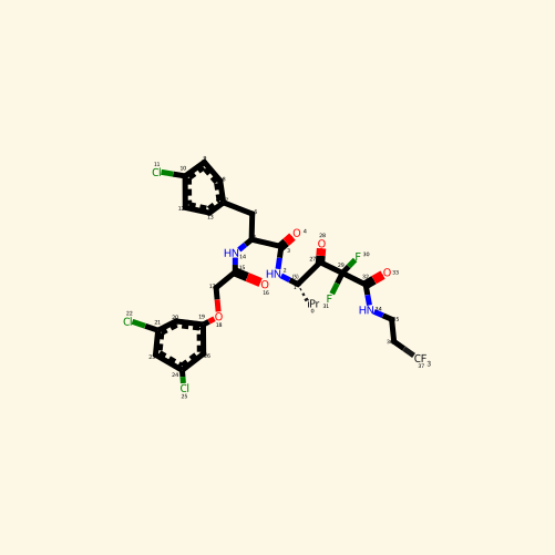 CC(C)[C@H](NC(=O)C(Cc1ccc(Cl)cc1)NC(=O)COc1cc(Cl)cc(Cl)c1)C(=O)C(F)(F)C(=O)NCCC(F)(F)F